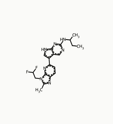 CCC(C)Nc1ncc2c(-c3ccc4nc(C)n(CC(F)F)c4n3)c[nH]c2n1